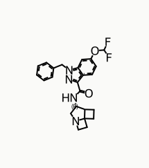 O=C(N[C@H]1CN2CCC23CCC13)c1nn(Cc2ccccc2)c2cc(OC(F)F)ccc12